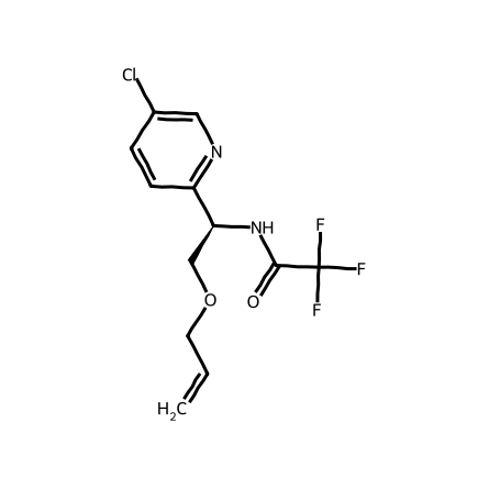 C=CCOC[C@H](NC(=O)C(F)(F)F)c1ccc(Cl)cn1